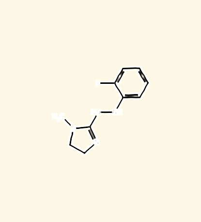 CN1CCN=C1NNc1ccccc1F